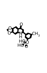 Cc1cc(OP(=O)(O)O)cc(-c2cc(=O)c3cc4c(cc3[nH]2)OCO4)c1